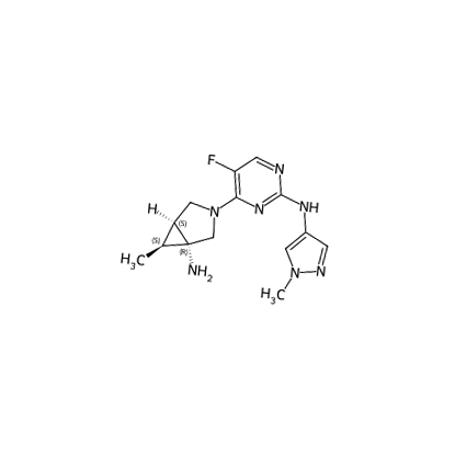 C[C@H]1[C@H]2CN(c3nc(Nc4cnn(C)c4)ncc3F)C[C@]21N